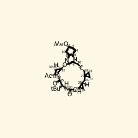 COc1ccc2nc3c(nc2c1)O[C@H]1CN(C(=O)[C@H](C(C)(C)C)NC(=O)O[C@@H]2C[C@H]2CC2(CCC3)CC2)[C@H](C(C)=O)[C@@H]1C